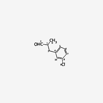 CC(C=O)Cc1cccc(Cl)c1